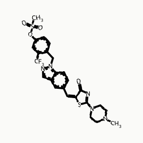 CN1CCN(C2=NC(=O)/C(=C\c3ccc4c(cnn4Cc4ccc(OS(C)(=O)=O)cc4C(F)(F)F)c3)S2)CC1